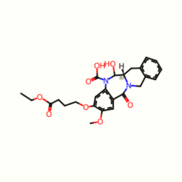 CCOC(=O)CCCOc1cc2c(cc1OC)C(=O)N1Cc3ccccc3C[C@H]1C(O)N2C(=O)O